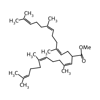 COC(=O)C(C=C(C)CCC=C(C)CCC=C(C)C)CC=C(C)CCC=C(C)CCC=C(C)C